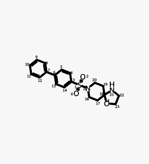 O=S(=O)(c1ccc(-c2ccccc2)cc1)N1CCC2(CC1)NCCO2